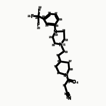 N#CCC(=O)N1CCC(CCN2CCN(c3cccc(C(F)(F)F)c3)CC2)CC1